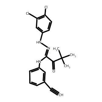 C#Cc1cccc(N/C(=N\Nc2ccc(Cl)c(Cl)c2)C(=O)C(C)(C)C)c1